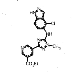 CCOC(=O)c1cncc(-c2nc(Nc3ccc4[nH]ncc4c3Cl)n(C)n2)c1